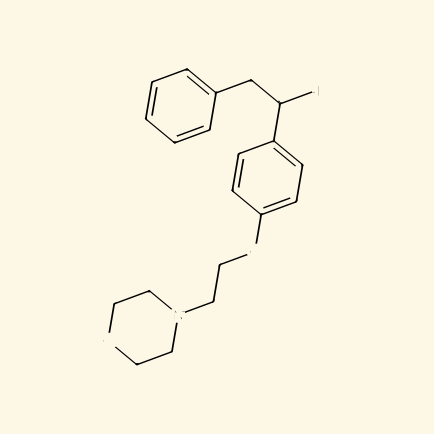 CC(C)[C](Cc1ccccc1)c1ccc(OCCN2CCOCC2)cc1